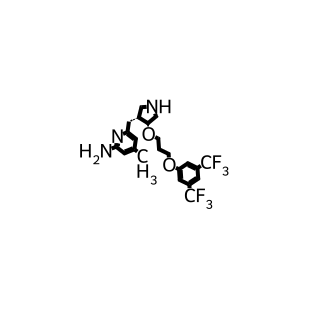 Cc1cc(N)nc(C[C@@H]2CNC[C@@H]2OCCCOc2cc(C(F)(F)F)cc(C(F)(F)F)c2)c1